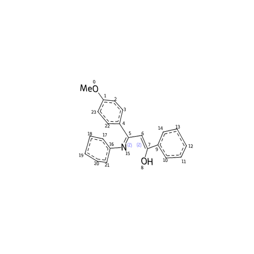 COc1ccc(C(/C=C(\O)c2ccccc2)=N\c2ccccc2)cc1